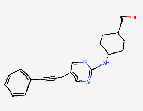 OC[C@H]1CC[C@H](Nc2ncc(C#Cc3ccccc3)cn2)CC1